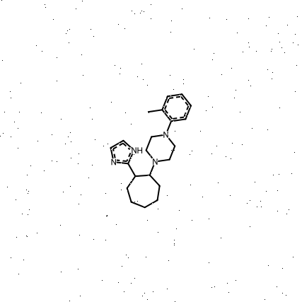 Cc1ccccc1N1CCN(C2CCCCCC2c2ncc[nH]2)CC1